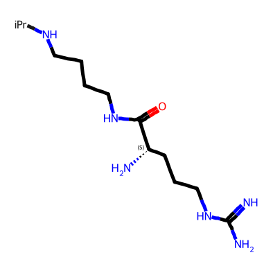 CC(C)NCCCCNC(=O)[C@@H](N)CCCNC(=N)N